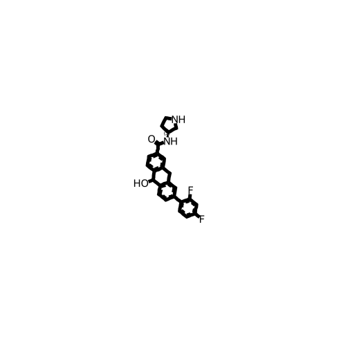 O=C(N[C@H]1CCNC1)c1ccc2c(c1)Cc1cc(-c3ccc(F)cc3F)ccc1C2O